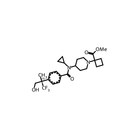 COC(=O)C1(N2CCC(N(C(=O)c3ccc([C@@](C)(CO)C(F)(F)F)cc3)C3CC3)CC2)CCC1